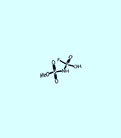 COS(=O)(=O)NP(=O)(O)F